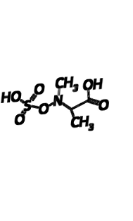 CC(C(=O)O)N(C)OS(=O)(=O)O